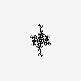 C=C(C)C(=O)OCCOC(=O)C(C)N1C(=O)c2cc(Oc3cccc(C(=O)OC)c3)c3c4c(Oc5cccc(C(=O)OC)c5)cc5c6c(cc(Oc7cccc(C(=O)OC)c7)c(c7c(Oc8cccc(C(=O)OC)c8)cc(c2c37)C1=O)c64)C(=O)N(C(C)C(=O)OCCOC(=O)C(C)C)C5=O